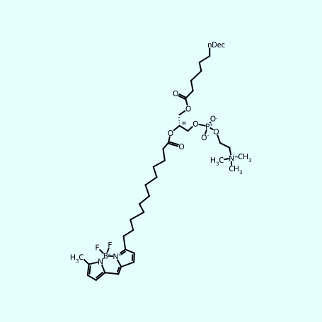 CCCCCCCCCCCCCCCC(=O)OC[C@H](CO[P+]([O])([O-])OCC[N+](C)(C)C)OC(=O)CCCCCCCCCCCC1=[N+]2C(=Cc3ccc(C)n3[B-]2(F)F)C=C1